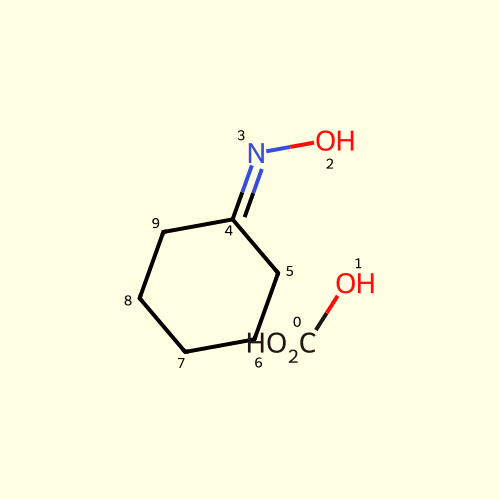 O=C(O)O.ON=C1CCCCC1